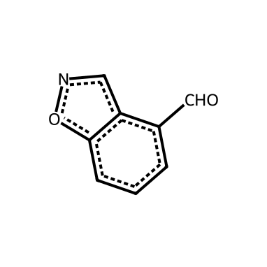 O=Cc1cccc2oncc12